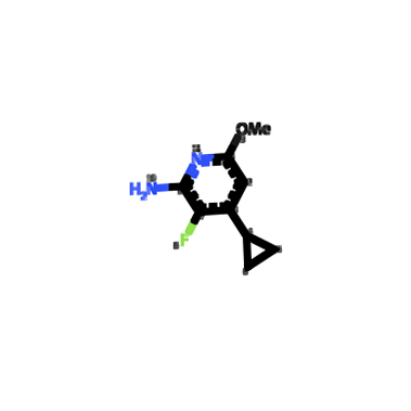 COc1cc(C2CC2)c(F)c(N)n1